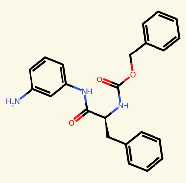 Nc1cccc(NC(=O)[C@H](Cc2ccccc2)NC(=O)OCc2ccccc2)c1